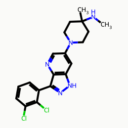 CNC1(C)CCN(c2cnc3c(-c4cccc(Cl)c4Cl)n[nH]c3c2)CC1